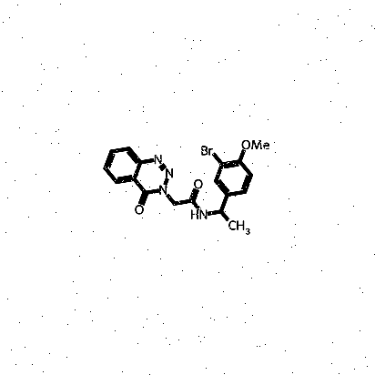 COc1ccc(C(C)NC(=O)Cn2nnc3ccccc3c2=O)cc1Br